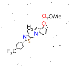 COC(=O)COc1cccc2c1ccn2Cc1sc(-c2ccc(C(F)(F)F)cc2)nc1C